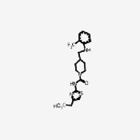 O=C(O)Cc1csc(NC(=O)N2CCC(CNc3ccccc3C(F)(F)F)CC2)n1